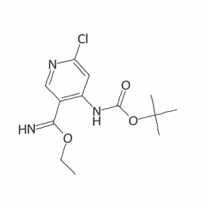 CCOC(=N)c1cnc(Cl)cc1NC(=O)OC(C)(C)C